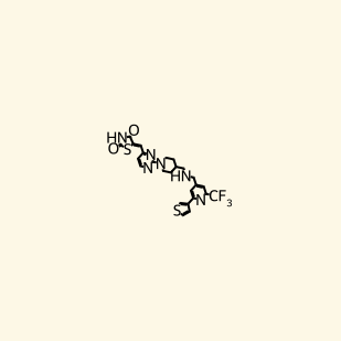 O=C1NC(=O)/C(=C/c2ccnc(N3CCC(CNCc4cc(-c5ccsc5)nc(C(F)(F)F)c4)CC3)n2)S1